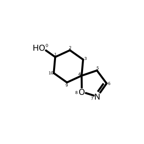 OC1CCC2(CC=NO2)CC1